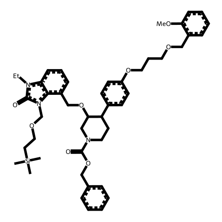 CCn1c(=O)n(COCC[Si](C)(C)C)c2c(COC3CN(C(=O)OCc4ccccc4)CCC3c3ccc(OCCCOCc4ccccc4OC)cc3)cccc21